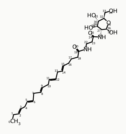 CCC=CCC=CCC=CCC=CCC=CCCCC(=O)NCCC(=O)N[C@@H]1[C@@H](O)[C@H](O)[C@@H](CO)O[C@H]1O